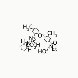 CCN(CCO)C(=O)c1ccc(COc2ccc(C)cc2-c2csc(N3C[C@@H]4CCC[C@@H](C3)C4C(=O)O)n2)c(C)c1